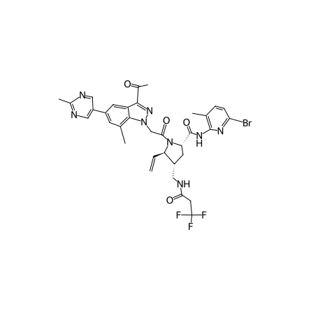 C=C[C@@H]1[C@@H](CNC(=O)CC(F)(F)F)C[C@@H](C(=O)Nc2nc(Br)ccc2C)N1C(=O)Cn1nc(C(C)=O)c2cc(-c3cnc(C)nc3)cc(C)c21